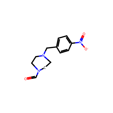 O=CN1CCN(Cc2ccc([N+](=O)[O-])cc2)CC1